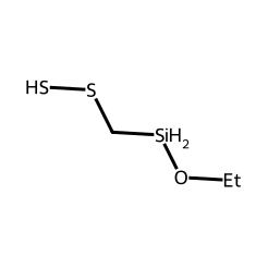 CCO[SiH2]CSS